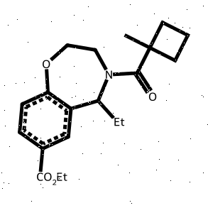 CCOC(=O)c1ccc2c(c1)C(CC)N(C(=O)C1(C)CCC1)CCO2